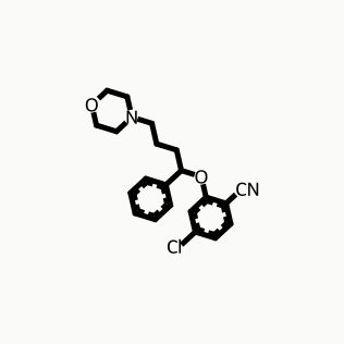 N#Cc1ccc(Cl)cc1OC(CCCN1CCOCC1)c1ccccc1